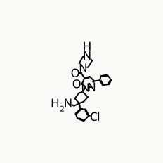 NCC1(c2cccc(Cl)c2)CCC(n2nc(-c3ccccc3)cc(C(=O)N3CCNCC3)c2=O)CC1